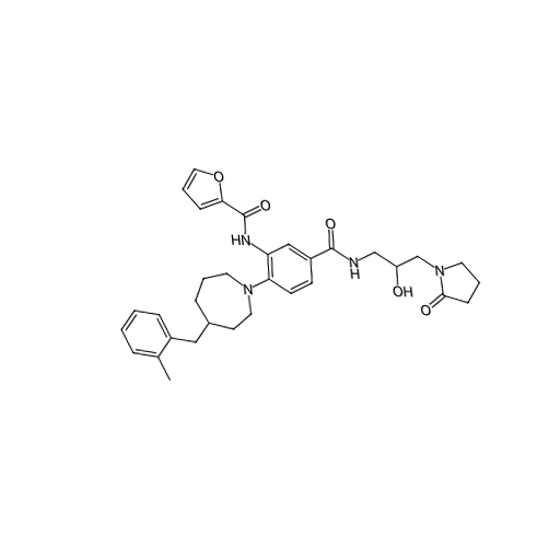 Cc1ccccc1CC1CCCN(c2ccc(C(=O)NCC(O)CN3CCCC3=O)cc2NC(=O)c2ccco2)CC1